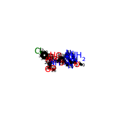 CCOc1nc(N)nc2c1ncn2[C@@H]1O[C@H](COP(=O)(N[C@@H](C)C(=O)OC)Oc2ccc(Cl)cc2)[C@@H](O)[C@@]1(C)N=[N+]=[N-]